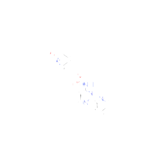 COc1ccc(CCOC(=O)Nc2ccnc(-c3ccccn3)n2)cn1